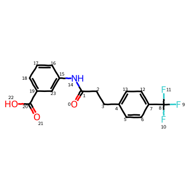 O=C(CCc1ccc(C(F)(F)F)cc1)Nc1cccc(C(=O)O)c1